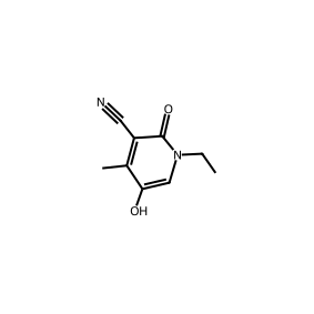 CCn1cc(O)c(C)c(C#N)c1=O